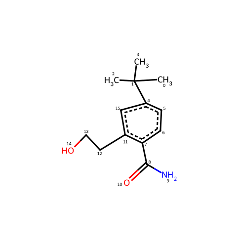 CC(C)(C)c1ccc(C(N)=O)c(CCO)c1